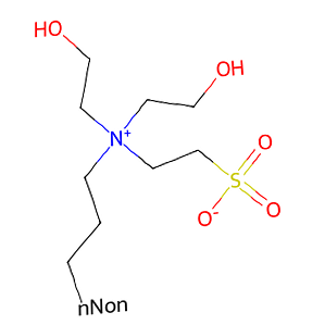 CCCCCCCCCCCC[N+](CCO)(CCO)CCS(=O)(=O)[O-]